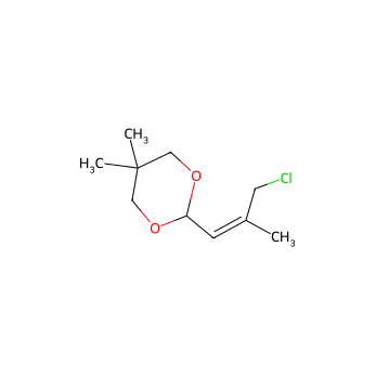 C/C(=C/C1OCC(C)(C)CO1)CCl